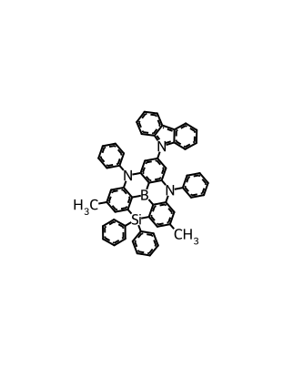 Cc1cc2c3c(c1)[Si](c1ccccc1)(c1ccccc1)c1cc(C)cc4c1B3c1c(cc(-n3c5ccccc5c5ccccc53)cc1N4c1ccccc1)N2c1ccccc1